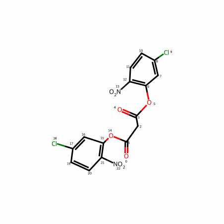 O=C(CC(=O)Oc1cc(Cl)ccc1[N+](=O)[O-])Oc1cc(Cl)ccc1[N+](=O)[O-]